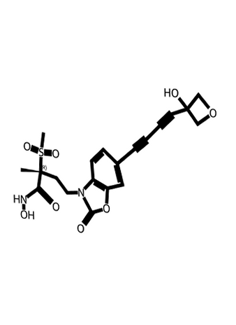 C[C@@](CCn1c(=O)oc2cc(C#CC#CC3(O)COC3)ccc21)(C(=O)NO)S(C)(=O)=O